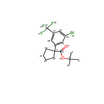 CC(C)(C)OC(=O)C1(c2cc(Br)cc(C(F)(F)F)c2)CCCC1